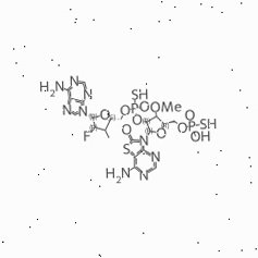 COC1[C@@H](OP(=O)(S)OC[C@H]2O[C@@H](n3cnc4c(N)ncnc43)[C@H](F)C2C)[C@H](n2c(=O)sc3c(N)ncnc32)O[C@@H]1COP(=O)(O)S